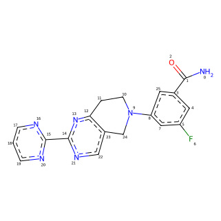 NC(=O)c1cc(F)cc(N2CCc3nc(-c4ncccn4)ncc3C2)c1